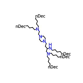 CCCCCCCCCCCCCCNC(CCN1CCN(CCN(CCCCCCCCCCCCCC)CCCCCCCCCCCCCC)CC1)CN(CCCCCCCCCCCCCC)CCCCCCCCCCCCCC